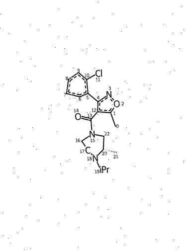 Cc1onc(-c2ccccc2Cl)c1C(=O)N1CCN(C(C)C)[C@@H](C)C1